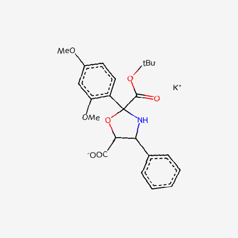 COc1ccc(C2(C(=O)OC(C)(C)C)NC(c3ccccc3)C(C(=O)[O-])O2)c(OC)c1.[K+]